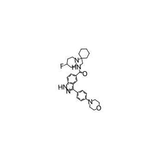 O=C(NCC1(N2CCC(F)CC2)CCCCC1)c1ccc2[nH]nc(-c3ccc(N4CCOCC4)cc3)c2c1